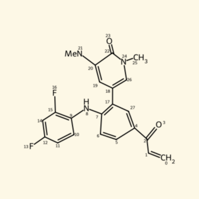 C=CC(=O)c1ccc(Nc2ccc(F)cc2F)c(-c2cc(NC)c(=O)n(C)c2)c1